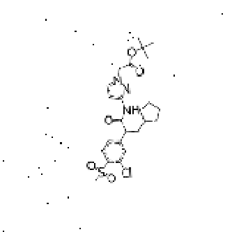 CC(C)(C)OC(=O)Cn1ccc(NC(=O)C(CC2CCCC2)c2ccc(S(C)(=O)=O)c(Cl)c2)n1